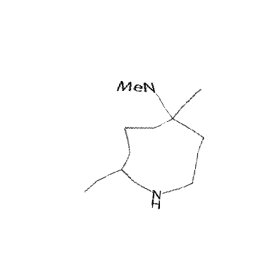 CNC1(C)CCNC(C)C1